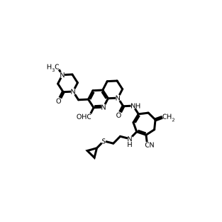 C=C1CC(NC(=O)N2CCCc3cc(CN4CCN(C)CC4=O)c(C=O)nc32)=CC(NCCSC2CC2)=C(C#N)C1